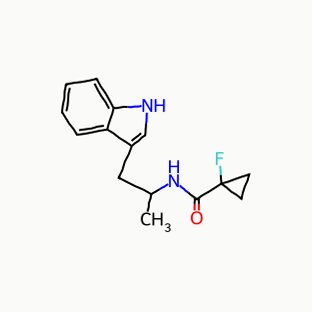 CC(Cc1c[nH]c2ccccc12)NC(=O)C1(F)CC1